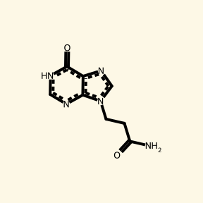 NC(=O)CCn1cnc2c(=O)[nH]cnc21